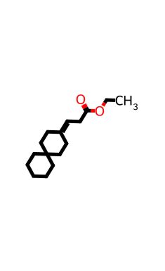 CCOC(=O)CC=C1CCC2(CCCCC2)CC1